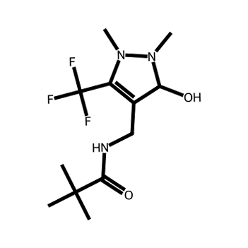 CN1C(C(F)(F)F)=C(CNC(=O)C(C)(C)C)C(O)N1C